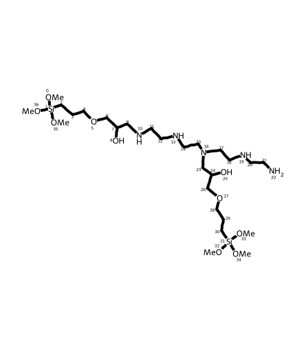 CO[Si](CCCOCC(O)CNCCNCCN(CCNCCN)CC(O)COCCC[Si](OC)(OC)OC)(OC)OC